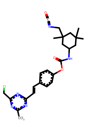 CC1(C)CC(NC(=O)Oc2ccc(/C=C/c3nc(CCl)nc(C(Cl)(Cl)Cl)n3)cc2)CC(C)(CN=C=O)C1